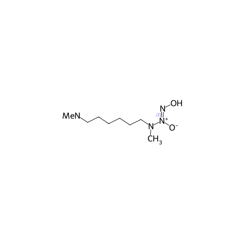 CNCCCCCCN(C)/[N+]([O-])=N/O